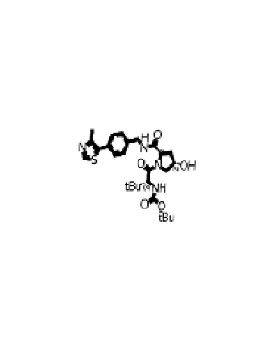 Cc1ncsc1-c1ccc(CNC(=O)[C@H]2C[C@H](O)CN2C(=O)[C@H](NC(=O)OC(C)(C)C)C(C)(C)C)cc1